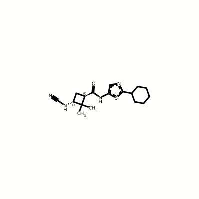 CC1(C)[C@H](NC#N)C[C@H]1C(=O)Nc1cnc(C2CCCCC2)s1